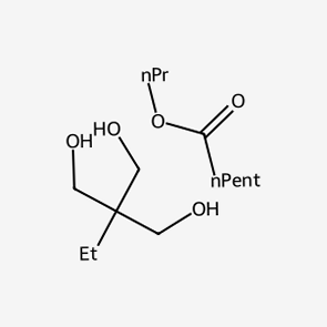 CCC(CO)(CO)CO.CCCCCC(=O)OCCC